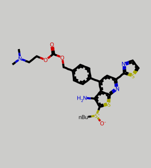 CCCC[S+]([O-])c1sc2nc(-c3nccs3)cc(-c3ccc(COC(=O)OCCN(C)C)cc3)c2c1N